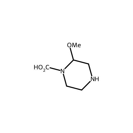 COC1CNCCN1C(=O)O